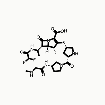 CNCC(=O)N[C@H]1CCN(C(=O)[C@@H]2C[C@H](SC3=C(C(=O)O)N4C(=O)[C@H](C(C)NC(=O)C(F)F)[C@H]4[C@H]3C)CN2)C1